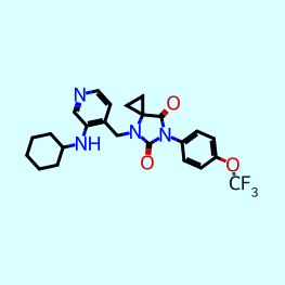 O=C1N(c2ccc(OC(F)(F)F)cc2)C(=O)C2(CC2)N1Cc1ccncc1NC1CCCCC1